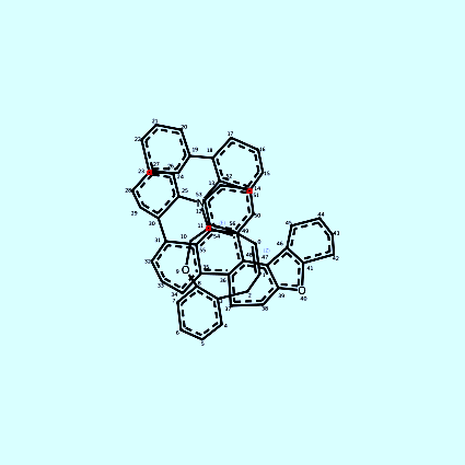 C1=C\Cc2ccccc2OC\C(N(c2ccccc2-c2ccccc2)c2ccccc2-c2cccc3c4ccc5oc6ccccc6c5c4c4ccccc4c23)=C/1